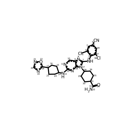 N#Cc1cc(Cl)c(Nc2nc3cnc(NC4CCC(c5ncno5)CC4)nc3n2C2CCC(C(N)=O)CC2)c(Cl)c1